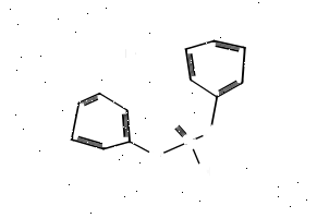 O.O=P(O)(Oc1ccccc1)Oc1ccccc1